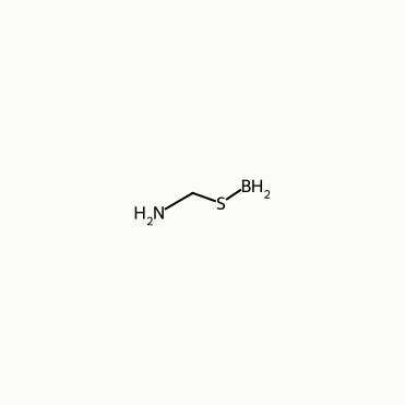 BSCN